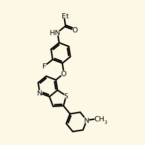 CCC(=O)Nc1ccc(Oc2ccnc3cc(C4=CCCN(C)C4)sc23)c(F)c1